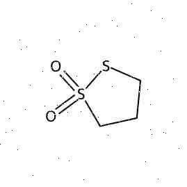 O=S1(=O)CCCS1